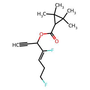 C#CC(OC(=O)C1C(C)(C)C1(C)C)C(F)=CCCF